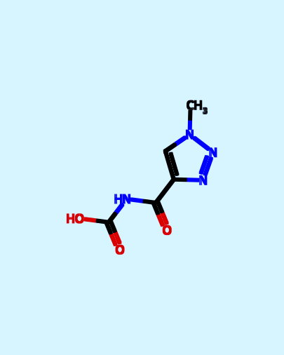 Cn1cc(C(=O)NC(=O)O)nn1